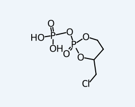 O=P(O)(O)OP1(=O)OCCC(CCl)O1